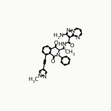 C[C@@H](NC(=O)c1c(N)nn2cccnc12)C1C(=O)c2cccc(C#Cc3cnn(C)c3)c2C(=O)N1c1ccccc1